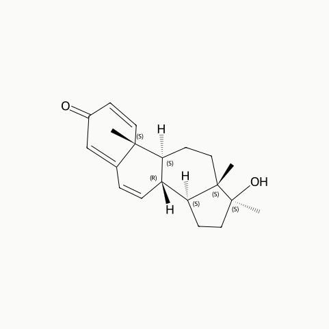 C[C@]12C=CC(=O)C=C1C=C[C@@H]1[C@@H]2CC[C@@]2(C)[C@H]1CC[C@]2(C)O